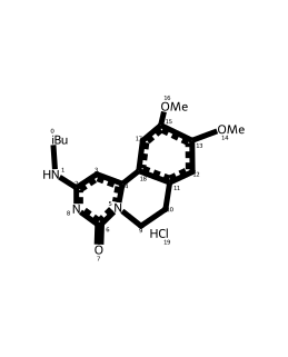 CCC(C)Nc1cc2n(c(=O)n1)CCc1cc(OC)c(OC)cc1-2.Cl